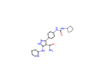 NC(=O)c1c(-c2ccc(NC(=O)NC3CCCC3)cc2)n[nH]c1Nc1ccccn1